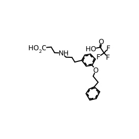 O=C(O)C(F)(F)F.O=C(O)CCNCCCc1cccc(OCCc2ccccc2)c1